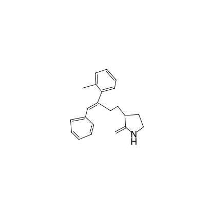 C=C1NCCC1CC/C(=C\c1ccccc1)c1ccccc1C